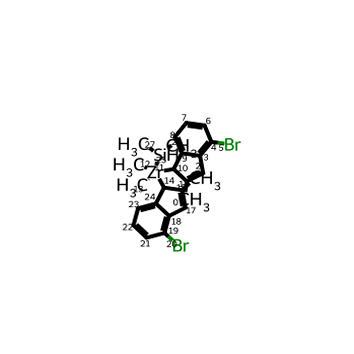 CC1=Cc2c(Br)cccc2[CH]1[Zr]([CH3])([CH3])([CH]1C(C)=Cc2c(Br)cccc21)[SiH](C)C